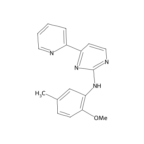 COc1ccc(C)cc1Nc1nccc(-c2ccccn2)n1